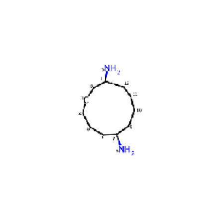 NC1CCCCC[C@H](N)CCCC1